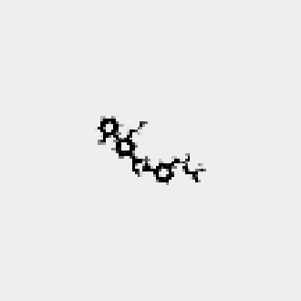 COCc1cc(C2=NC(c3cccc(CN(C)CC(C)=O)c3)=NC2)ccc1-c1ccccc1C